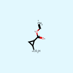 C=COC(=O)C1CC1C(=O)O